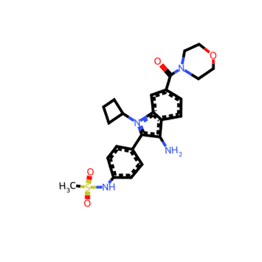 CS(=O)(=O)Nc1ccc(-c2c(N)c3ccc(C(=O)N4CCOCC4)cc3n2C2CCC2)cc1